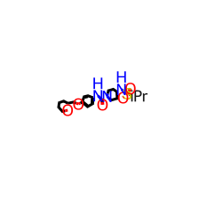 CC(C)S(=O)(=O)NC1CCN(C(=O)Nc2ccc(OCC3CCCCO3)cc2)CC1